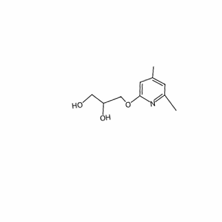 Cc1cc(C)nc(OCC(O)CO)c1